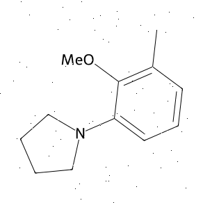 COc1c(C)cccc1N1CCCC1